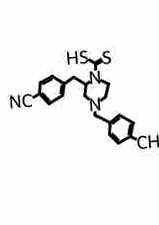 Cc1ccc(CN2CCN(C(=S)S)C(Cc3ccc(C#N)cc3)C2)cc1